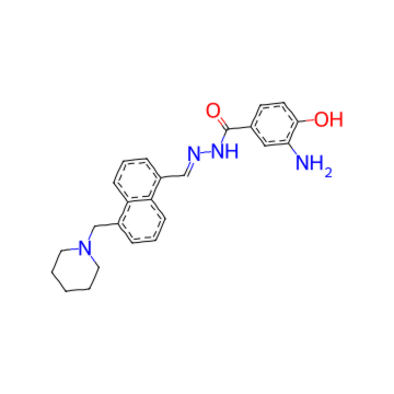 Nc1cc(C(=O)N/N=C/c2cccc3c(CN4CCCCC4)cccc23)ccc1O